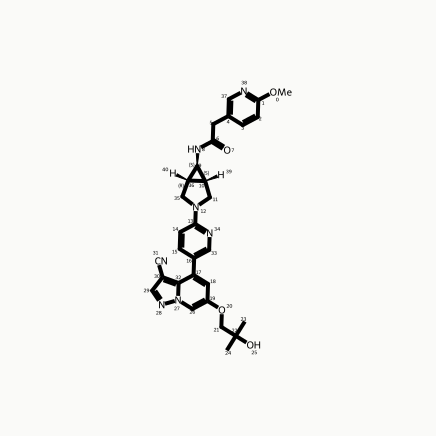 COc1ccc(CC(=O)N[C@H]2[C@@H]3CN(c4ccc(-c5cc(OCC(C)(C)O)cn6ncc(C#N)c56)cn4)C[C@@H]32)cn1